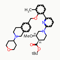 CO[C@H]1CN(c2cccc(-c3cccc(C)c3OCc3ccc4c(c3)CCN(C3CCOCC3)C4)n2)CC[C@H]1C(=O)OC(C)(C)C